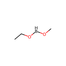 CCOBOC